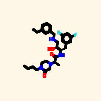 CCCCN1CCN([C@H](C)C(=O)N[C@@H](Cc2cc(F)cc(F)c2)[C@@H](O)CNCc2cccc(CC)c2)CC1=O